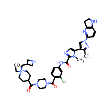 Cn1c(-c2cn(-c3ccc4c(n3)CCN4)nc2C(F)(F)F)cnc1C(=O)Nc1ccc(C(=O)N2CCN(C(=O)C3CC[N+](CC(=O)O)(CC4CNC4)CC3)CC2)c(Cl)c1